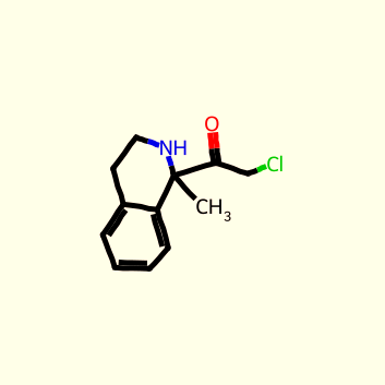 CC1(C(=O)CCl)NCCc2ccccc21